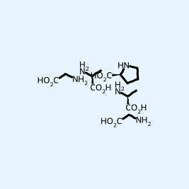 C[C@H](N)C(=O)O.C[C@H](N)C(=O)O.NCC(=O)O.NCC(=O)O.O=C(O)[C@@H]1CCCN1